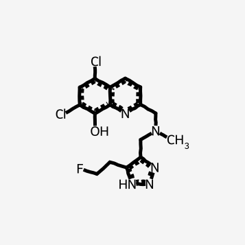 CN(Cc1ccc2c(Cl)cc(Cl)c(O)c2n1)Cc1nn[nH]c1CCF